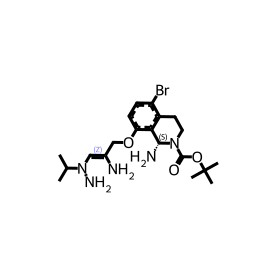 CC(C)N(N)/C=C(\N)COc1ccc(Br)c2c1[C@@H](N)N(C(=O)OC(C)(C)C)CC2